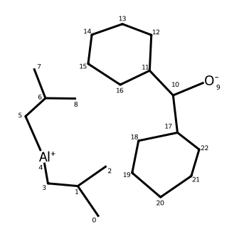 CC(C)[CH2][Al+][CH2]C(C)C.[O-]C(C1CCCCC1)C1CCCCC1